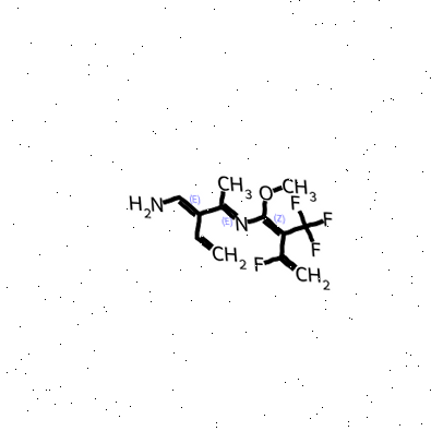 C=CC(=C\N)/C(C)=N/C(OC)=C(\C(=C)F)C(F)(F)F